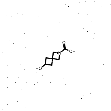 O=C(O)N1CC2(CC(O)C2)C1